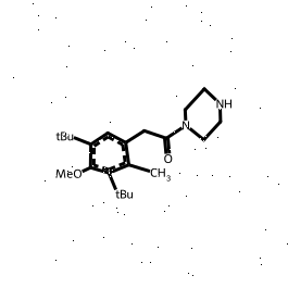 COc1c(C(C)(C)C)cc(CC(=O)N2CCNCC2)c(C)c1C(C)(C)C